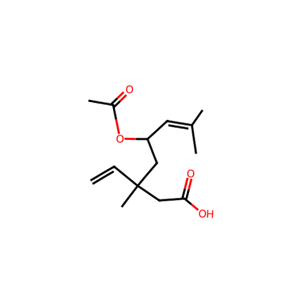 C=CC(C)(CC(=O)O)CC(C=C(C)C)OC(C)=O